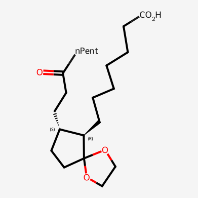 CCCCCC(=O)CC[C@H]1CCC2(OCCO2)[C@@H]1CCCCCCC(=O)O